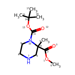 COC(=O)C1(C)CNCCN1C(=O)OC(C)(C)C